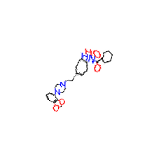 O=C(N[C@H]1CC[C@H](CCN2CCN(c3cccc4c3OCO4)CC2)CC1)C1(O)CCCCC1